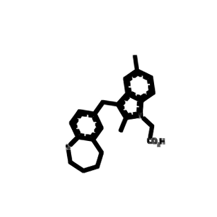 Cc1ccc2c(c1)c(Cc1ccc3c(c1)CCCCS3)c(C)n2CC(=O)O